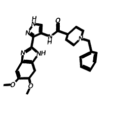 COC1=Cc2nc(-c3n[nH]cc3NC(=O)C3CCN(Cc4ccccc4)CC3)[nH]c2CC1OC